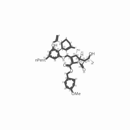 C=C(C)[C@@H]1CCC(C)=C[C@H]1c1c(O)cc(CCCCC)cc1OCC1=C(C(=O)OCc2ccc(OC)cc2)N2C(=O)[C@H]([C@@H](C)O)[C@H]2[C@H]1C